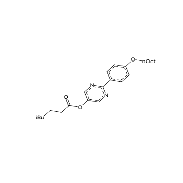 CCCCCCCCOc1ccc(-c2ncc(OC(=O)CCC(C)CC)cn2)cc1